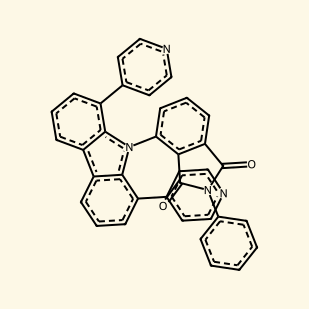 O=C1c2cccc(-n3c4c(-c5ccncc5)cccc4c4cccc(-c5ccncc5)c43)c2C(=O)N1c1ccccc1